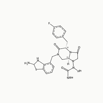 CCCN(C(=O)NC)N1CC(=O)N2[C@@H](Cc3ccc(F)cc3)C(=O)N(Cc3cccc4c3NC(N)S4)C[C@@H]21